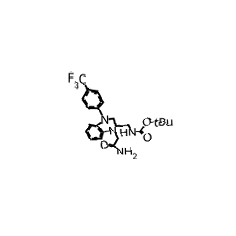 CC(C)(C)OC(=O)NCC1CN(c2ccc(C(F)(F)F)cc2)c2ccccc2N1CC(N)=O